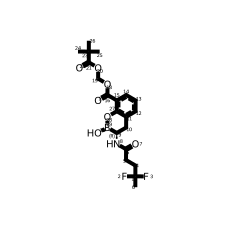 CC(F)(F)CCC(=O)N[C@H]1Cc2cccc(C(=O)OCOC(=O)C(C)(C)C)c2OB1O